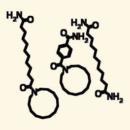 NC(=O)CCCCCCCCCCC(=O)N1CCCCCCCCCCCC1.NC(=O)CCCCCCCCCCC(N)=O.NC(=O)c1ccc(C(=O)N2CCCCCCCCCCCC2)cc1